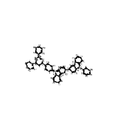 c1ccc(-c2cc(-c3ccc(-n4c5ccccc5c5cc(-c6ccc7c(c6)c6ccccc6n7-c6ccccc6)cnc54)cc3)nc(-c3ccccc3)n2)cc1